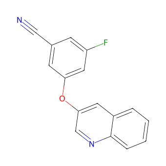 N#Cc1cc(F)cc(Oc2cnc3ccccc3c2)c1